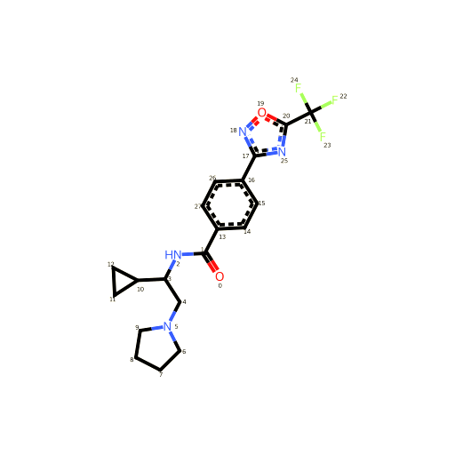 O=C(NC(CN1CCCC1)C1CC1)c1ccc(-c2noc(C(F)(F)F)n2)cc1